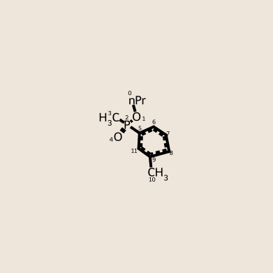 CCCOP(C)(=O)c1cccc(C)c1